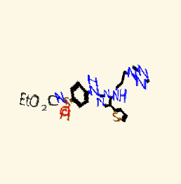 CCOC(=O)N=[SH](=O)c1ccc(Nc2ncc(-c3cccs3)c(NCCCn3cncn3)n2)cc1